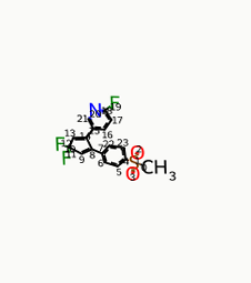 CS(=O)(=O)c1ccc(C2=CC(F)(F)C=C2c2ccc(F)nc2)cc1